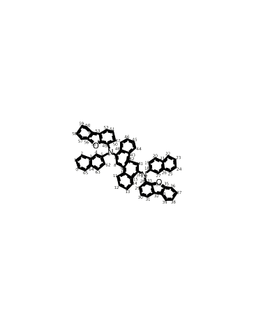 c1ccc2cc(N(c3cc4c5ccccc5c(N(c5ccc6ccccc6c5)c5cccc6c5oc5ccccc56)cc4c4ccccc34)c3cccc4c3oc3ccccc34)ccc2c1